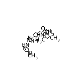 COc1ccnc(NCc2nnc(-c3ccc(CC(Nc4c(C)cc(C)cc4C)C(=O)O)cc3)[nH]2)c1